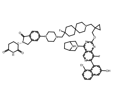 CCc1cccc2cc(O)cc(-c3ncc4c(N5CC6CCC(C5)N6)nc(OCC5(CN6CCC7(CC6)CCC(F)(CN6CCN(c8ccc9c(c8)CN([C@H]8CCC(=O)NC8=O)C9=O)CC6)CC7)CC5)nc4c3F)c12